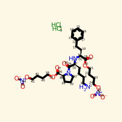 Cl.Cl.NCCCC[C@H](N[C@@H](CCc1ccccc1)C(=O)OCCCCO[N+](=O)[O-])C(=O)N1CCC[C@H]1C(=O)OCCCCO[N+](=O)[O-]